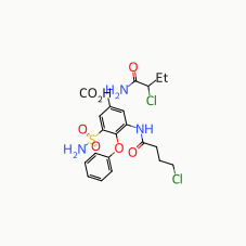 CCC(Cl)C(N)=O.NS(=O)(=O)c1cc(C(=O)O)cc(NC(=O)CCCCl)c1Oc1ccccc1